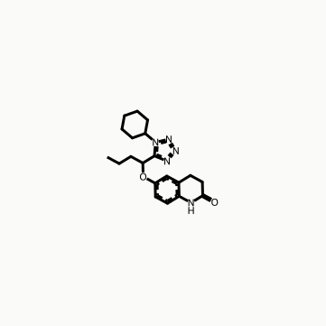 CCCC(Oc1ccc2c(c1)CCC(=O)N2)c1nnnn1C1CCCCC1